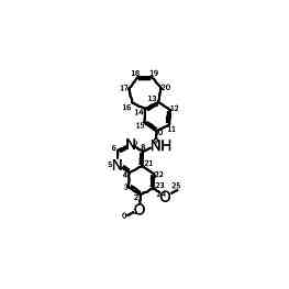 COc1cc2ncnc(Nc3ccc4c(c3)CCC=CC4)c2cc1OC